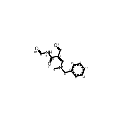 CN(/C=C(/C=O)C(=O)NC=O)Cc1ccccc1